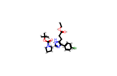 CCOC(=O)CCc1[nH]c([C@@H]2CCCN2C(=O)OC(C)(C)C)nc1-c1ccc(Br)cc1